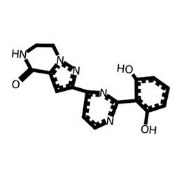 O=C1NCCn2nc(-c3ccnc(-c4c(O)cccc4O)n3)cc21